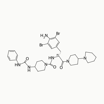 Nc1c(Br)cc(C[C@@H](NC(=O)N2CCC(NC(=O)Nc3ccccc3)CC2)C(=O)N2CCC(N3CCCCC3)CC2)cc1Br